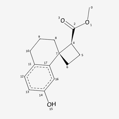 COC(=O)[C@H]1CC[C@@]12CCCc1ccc(O)cc12